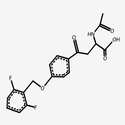 CC(=O)NC(CC(=O)c1ccc(OCc2c(F)cccc2F)cc1)C(=O)O